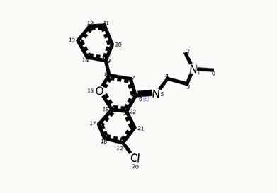 CN(C)CC/N=c1\cc(-c2ccccc2)oc2ccc(Cl)cc12